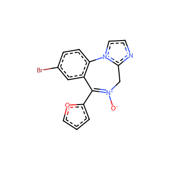 [O-][N+]1=C(c2ccco2)c2cc(Br)ccc2-n2ccnc2C1